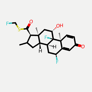 CC1C[C@H]2[C@@H]3C[C@H](F)C4=CC(=O)C=C[C@]4(C)[C@@]3(F)[C@@H](O)C[C@]2(C)[C@@H]1C(=O)SCF